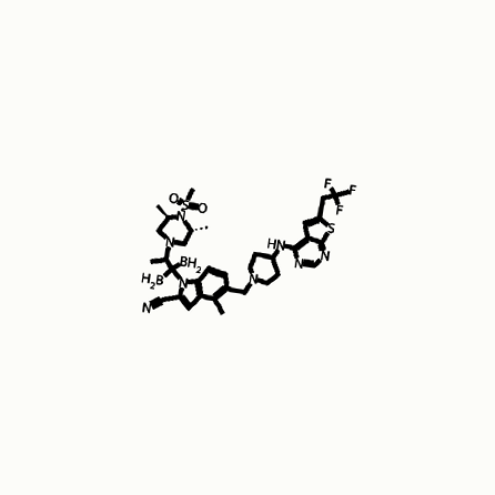 BC(B)(C(C)N1C[C@@H](C)N(S(C)(=O)=O)[C@H](C)C1)n1c(C#N)cc2c(C)c(CN3CCC(Nc4ncnc5sc(CC(F)(F)F)cc45)CC3)ccc21